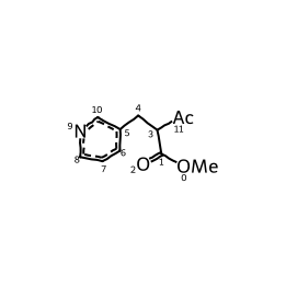 COC(=O)C(Cc1cccnc1)C(C)=O